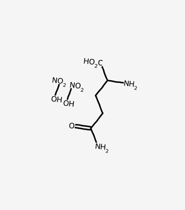 NC(=O)CCC(N)C(=O)O.O=[N+]([O-])O.O=[N+]([O-])O